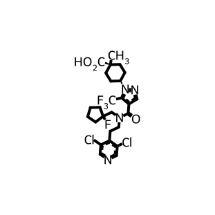 C[C@]1(C(=O)O)CC[C@H](n2ncc(C(=O)N(CCc3c(Cl)cncc3Cl)CC3(F)CCCC3)c2C(F)(F)F)CC1